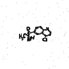 CS(=N)(=O)c1ccc2nccc(Cl)c2c1